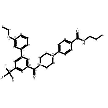 CCCNC(=O)c1ccc(N2CCN(C(=O)c3cc(-c4cccc(OCC)c4)cc(C(F)(F)F)c3)CC2)cc1